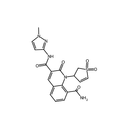 Cn1ccc(NC(=O)c2cc3cccc(C(N)=O)c3n(C3C=CS(=O)(=O)C3)c2=O)n1